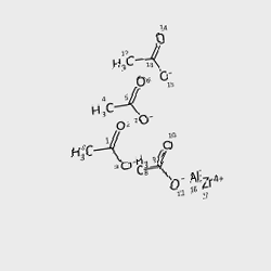 CC(=O)[O-].CC(=O)[O-].CC(=O)[O-].CC(=O)[O-].[Al].[Zr+4]